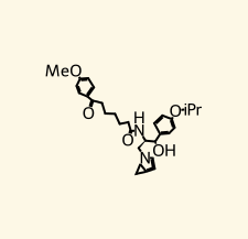 COc1ccc(C(=O)CCCCCC(=O)N[C@H](CN2C=C=C3CC32)[C@H](O)c2ccc(OC(C)C)cc2)cc1